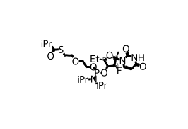 CC[C@H]1O[C@](C)(n2ccc(=O)[nH]c2=O)[C@@H](F)C1OP(OCCOCCSC(=O)C(C)C)N(C(C)C)C(C)C